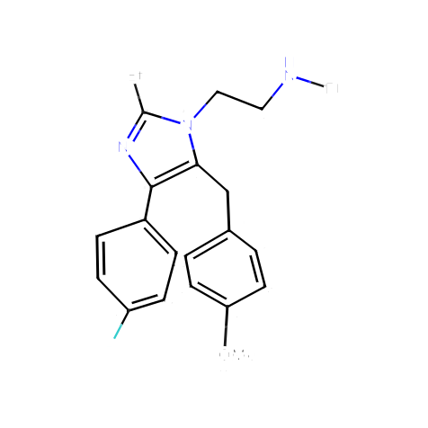 CCNCCn1c(CC)nc(-c2ccc(F)cc2)c1Cc1ccc(OC)cc1